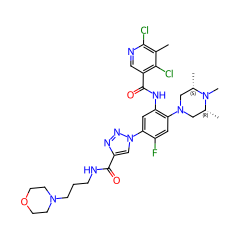 Cc1c(Cl)ncc(C(=O)Nc2cc(-n3cc(C(=O)NCCCN4CCOCC4)nn3)c(F)cc2N2C[C@@H](C)N(C)[C@@H](C)C2)c1Cl